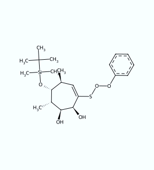 C[C@H]1[C@H](O)[C@H](O)C(SOOc2ccccc2)=C[C@H](C)[C@H]1O[Si](C)(C)C(C)(C)C